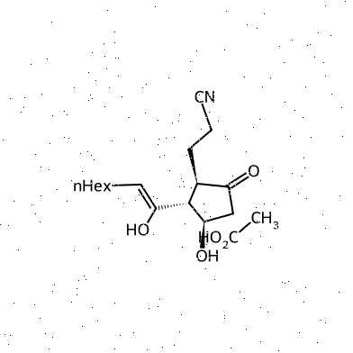 CC(=O)O.CCCCCCC=C(O)[C@H]1[C@H](O)CC(=O)[C@@H]1CCC#N